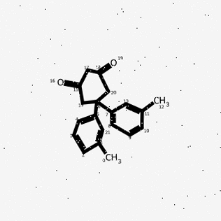 Cc1cccc(C2(c3cccc(C)c3)CC(=O)CC(=O)C2)c1